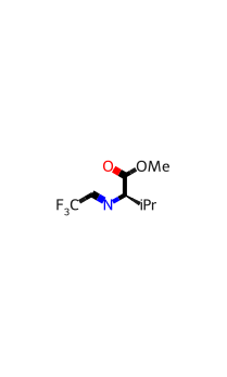 COC(=O)[C@H](/N=C/C(F)(F)F)C(C)C